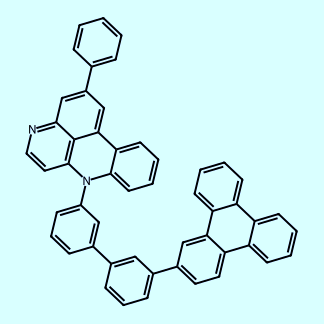 c1ccc(-c2cc3c4c(ccnc4c2)N(c2cccc(-c4cccc(-c5ccc6c7ccccc7c7ccccc7c6c5)c4)c2)c2ccccc2-3)cc1